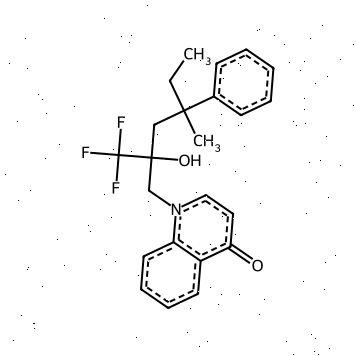 CCC(C)(CC(O)(Cn1ccc(=O)c2ccccc21)C(F)(F)F)c1ccccc1